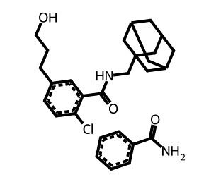 NC(=O)c1ccccc1.O=C(NCC12CC3CC(CC(C3)C1)C2)c1cc(CCCO)ccc1Cl